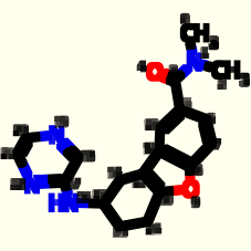 CN(C)C(=O)c1ccc2oc3c(c2c1)CC(Nc1cnccn1)CC3